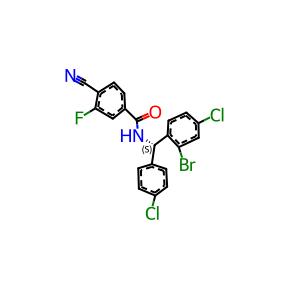 N#Cc1ccc(C(=O)N[C@@H](c2ccc(Cl)cc2)c2ccc(Cl)cc2Br)cc1F